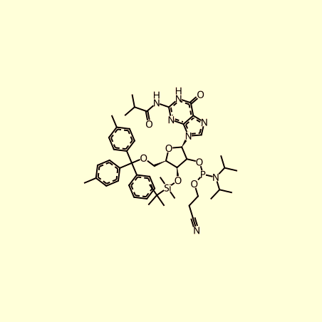 Cc1ccc(C(OC[C@H]2O[C@@H](n3cnc4c(=O)[nH]c(NC(=O)C(C)C)nc43)C(OP(OCCC#N)N(C(C)C)C(C)C)[C@H]2O[Si](C)(C)C(C)(C)C)(c2ccccc2)c2ccc(C)cc2)cc1